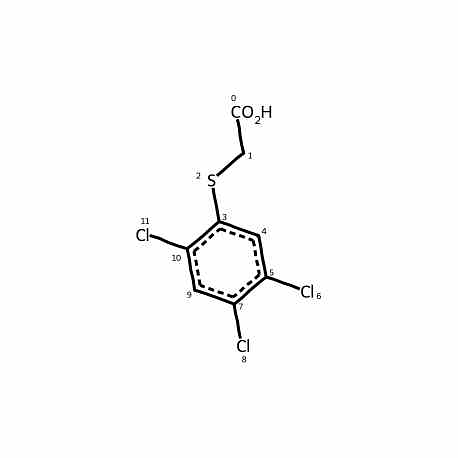 O=C(O)CSc1cc(Cl)c(Cl)cc1Cl